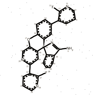 NC1=N[C@]2(c3cc(-c4cccnc4F)ccc3Oc3cnc(-c4cccnc4F)cc32)c2ccccc21